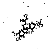 COc1cc2c(CCNC=O)c(-c3ccc(OC(C)(C)C)cc3)[nH]c2cc1Cl